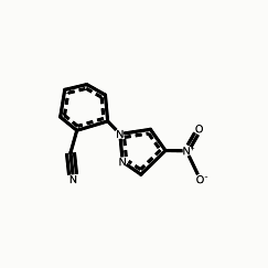 N#Cc1ccccc1-n1cc([N+](=O)[O-])cn1